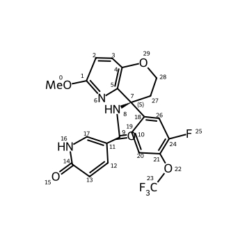 COc1ccc2c(n1)[C@@](NC(=O)c1ccc(=O)[nH]c1)(c1ccc(OC(F)(F)F)c(F)c1)CCO2